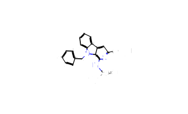 CCOC(=O)[C@@H](Nc1nc(C(=O)O)cc2c3ccccc3n(Cc3ccccc3)c12)[C@@H](C)CC